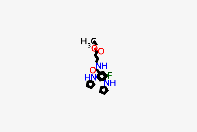 CCOC(=O)CCCNC(=O)c1cc(F)c(NC2CCCC2)cc1NC1CCCC1